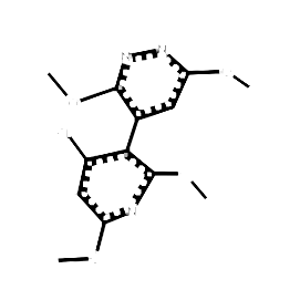 COc1[c]c(Cl)c(-c2cc(OC)nnc2OC)c(OC)n1